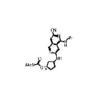 CNC(=O)O[C@H]1CCC(Nc2cc3c(NC(C)C)nc(C#N)cc3cn2)C1